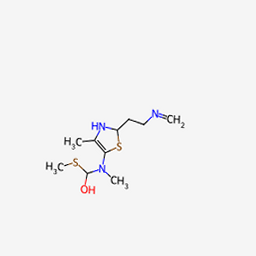 C=NCCC1NC(C)=C(N(C)C(O)SC)S1